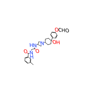 Cc1cccc(C(=O)NCC(=O)NC2CN(C3CCC(O)(c4ccc(OC=O)cc4)CC3)C2)c1